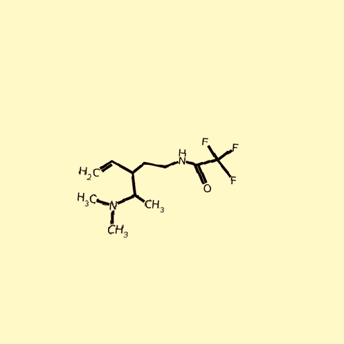 C=CC(CCNC(=O)C(F)(F)F)[C](C)N(C)C